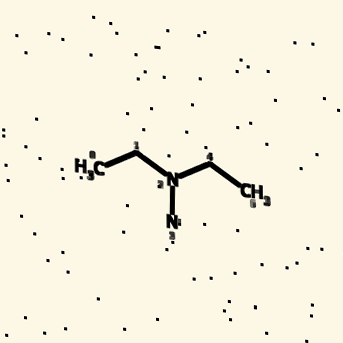 CCN([N])CC